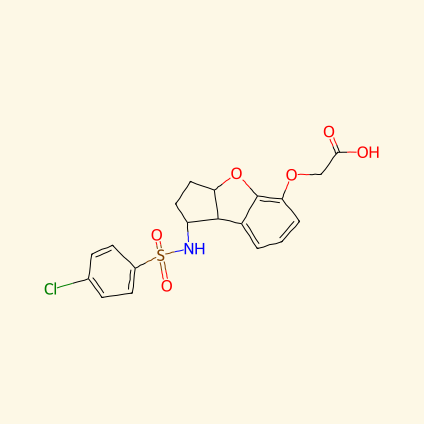 O=C(O)COc1cccc2c1OC1CCC(NS(=O)(=O)c3ccc(Cl)cc3)C21